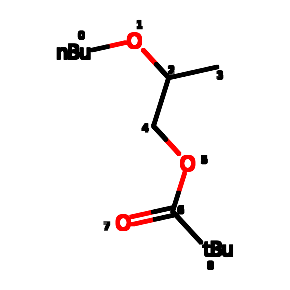 CCCCOC(C)COC(=O)C(C)(C)C